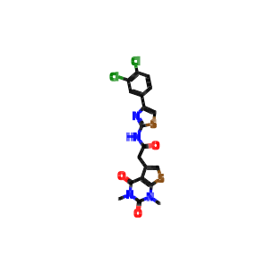 Cn1c(=O)c2c(CC(=O)Nc3nc(-c4ccc(Cl)c(Cl)c4)cs3)csc2n(C)c1=O